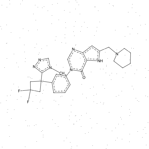 Cn1cnnc1C1(c2cccc(-n3cnc4cc(CN5CCCCC5)[nH]c4c3=O)c2)CC(F)(F)C1